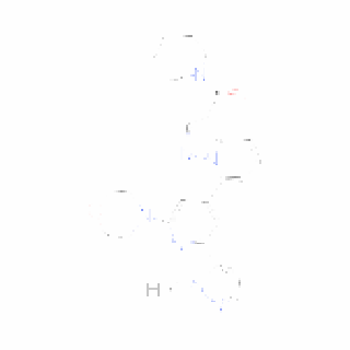 Cn1nccc1-c1cc(-c2cccc3c(C(=O)N4CCCCC4)cnn23)cc(N2CCOCC2)n1